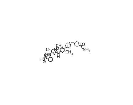 COc1cc(N2CCN(CC3CCN(C(=O)CN)CC3)CC2)c(C)cc1Nc1ncc(Cl)c(Nc2ccccc2N(C)[SH]=O)n1